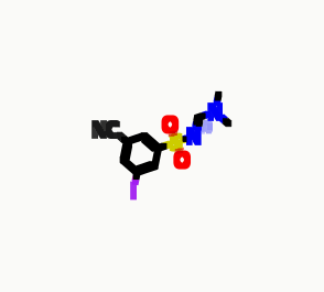 CN(C)/C=N/S(=O)(=O)c1cc(I)cc(C#N)c1